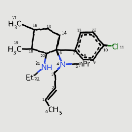 CC=CCN(CCC)C1(c2ccc(Cl)cc2)CCC(C)C(C)C1NCC